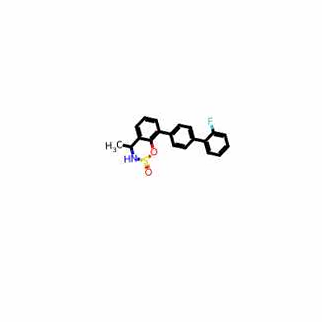 CC1NS(=O)Oc2c(-c3ccc(-c4ccccc4F)cc3)cccc21